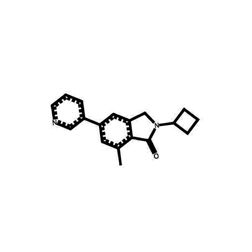 Cc1cc(-c2cccnc2)cc2c1C(=O)N(C1CCC1)C2